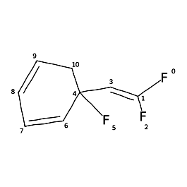 FC(F)=CC1(F)C=CC=CC1